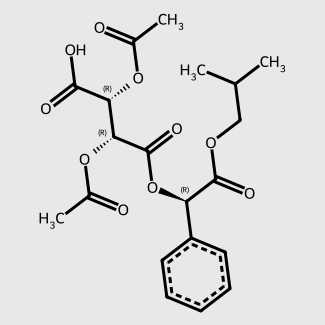 CC(=O)O[C@@H](C(=O)O)[C@@H](OC(C)=O)C(=O)O[C@@H](C(=O)OCC(C)C)c1ccccc1